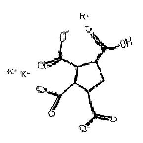 O=C([O-])C1CC(C(=O)O)C(C(=O)[O-])C1C(=O)[O-].[K+].[K+].[K+]